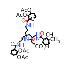 CC(=O)Oc1cccc(C(=O)NCCCC(CCCNC(=O)c2cccc(C)c2C)(CCCNC(=O)c2cccc(OC(C)=O)c2OC(C)=O)NC(=O)CCC(=O)O)c1OC(C)=O